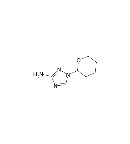 Nc1ncn(C2CCCCO2)n1